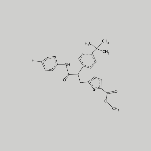 COC(=O)c1ccc(CC(C(=O)Nc2ccc(I)cc2)c2ccc(C(C)(C)C)cc2)s1